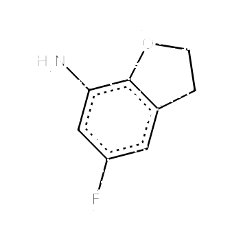 Nc1cc(F)cc2c1OCC2